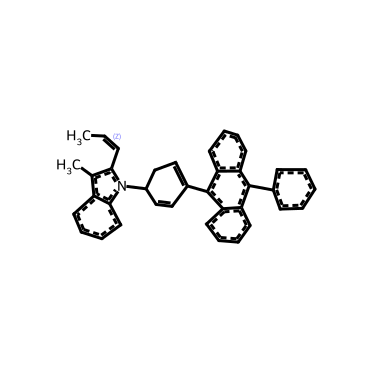 C/C=C\c1c(C)c2ccccc2n1C1C=CC(c2c3ccccc3c(-c3ccccc3)c3ccccc23)=CC1